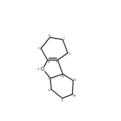 C1CCC2=C(C1)OC1CCCCC21